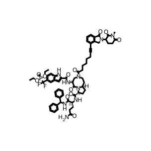 CCOP(=O)(OCC)C(F)(F)c1ccc2[nH]c(C(=O)N[C@H]3CN(C(=O)CCCCCC#Cc4cccc5c4CN(C4CCC(=O)N(C)C4=O)C5=O)CC[C@H]4CC[C@@H](C(=O)N[C@@H](CCC(N)=O)C(=O)NC(c5ccccc5)c5ccccc5)N4C3=O)cc2c1